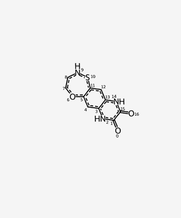 O=c1[nH]c2cc3occ[nH]sc3cc2[nH]c1=O